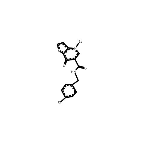 CCn1cc(C(=O)NCc2ccc(Cl)cc2)c(=O)c2sccc21